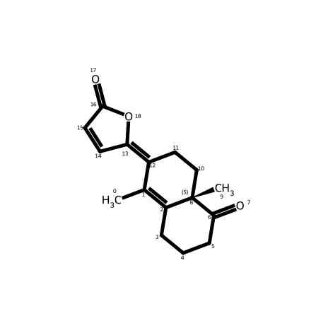 CC1=C2CCCC(=O)[C@@]2(C)CCC1=C1C=CC(=O)O1